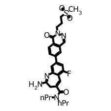 CCCN(CCC)C(=O)C1=Cc2c(F)cc(-c3ccc4c(=O)n(CCCS(C)(=O)=O)ncc4c3)cc2N=C(N)C1